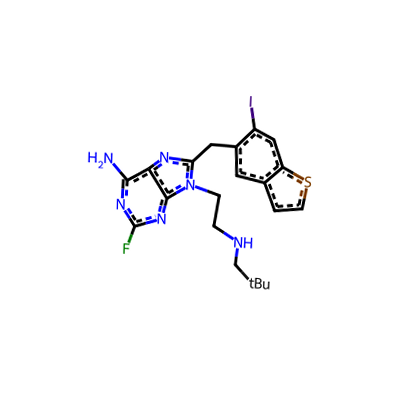 CC(C)(C)CNCCn1c(Cc2cc3ccsc3cc2I)nc2c(N)nc(F)nc21